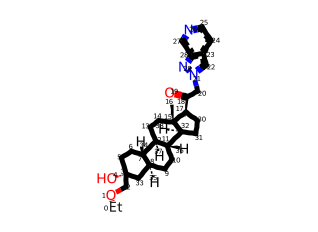 CCOC[C@@]1(O)CC[C@H]2[C@@H](CC[C@@H]3[C@@H]2CC[C@]2(C)[C@@H](C(=O)Cn4cc5ccncc5n4)CC[C@@H]32)C1